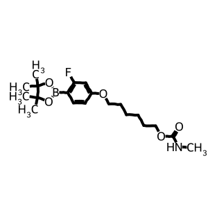 CNC(=O)OCCCCCCOc1ccc(B2OC(C)(C)C(C)(C)O2)c(F)c1